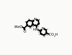 COC(=O)c1ccc2nccc(Nc3ccc(C(=O)O)cn3)c2c1